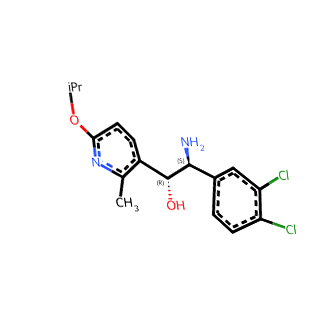 Cc1nc(OC(C)C)ccc1[C@@H](O)[C@@H](N)c1ccc(Cl)c(Cl)c1